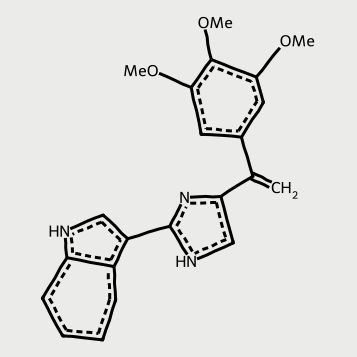 C=C(c1cc(OC)c(OC)c(OC)c1)c1c[nH]c(-c2c[nH]c3ccccc23)n1